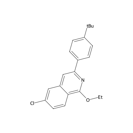 CCOc1nc(-c2ccc(C(C)(C)C)cc2)cc2cc(Cl)ccc12